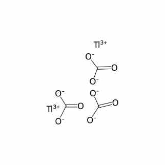 O=C([O-])[O-].O=C([O-])[O-].O=C([O-])[O-].[Tl+3].[Tl+3]